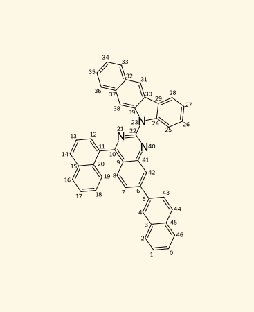 c1ccc2cc(-c3ccc4c(-c5cccc6ccccc56)nc(-n5c6ccccc6c6cc7ccccc7cc65)nc4c3)ccc2c1